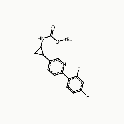 CC(C)(C)OC(=O)NC1CC1c1ccc(-c2ccc(F)cc2F)nc1